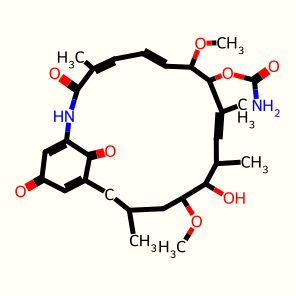 COC1/C=C/C=C(/C)C(=O)NC2=CC(=O)C=C(CC(C)CC(OC)C(O)C(C)/C=C(\C)C1OC(N)=O)C2=O